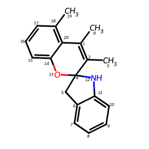 CC1=C(C)C2(Cc3ccccc3N2)Oc2cccc(C)c21